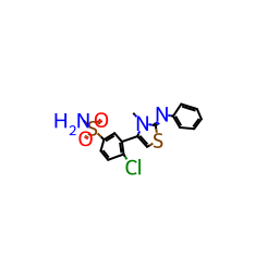 Cn1c(-c2cc(S(N)(=O)=O)ccc2Cl)csc1=Nc1ccccc1